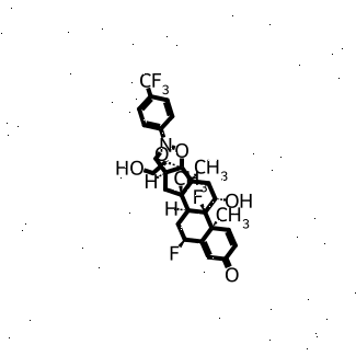 C[C@]12C[C@H](O)[C@@]3(F)[C@@H](C[C@H](F)C4=CC(=O)C=C[C@@]43C)[C@]1(C)C[C@H]1CN(c3ccc(C(F)(F)F)cc3)O[C@]12C(=O)CO